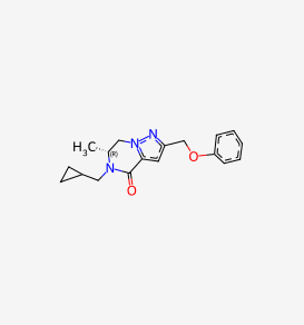 C[C@@H]1Cn2nc(COc3ccccc3)cc2C(=O)N1CC1CC1